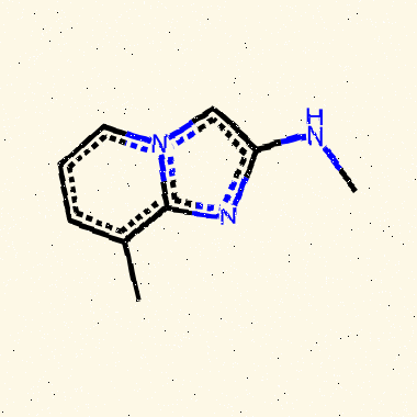 CNc1cn2cccc(C)c2n1